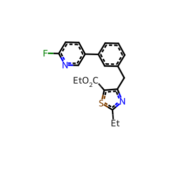 CCOC(=O)c1sc(CC)nc1Cc1cccc(-c2ccc(F)nc2)c1